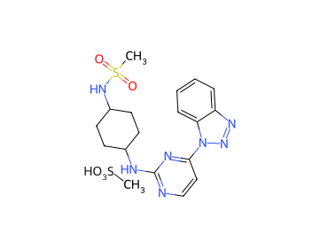 CS(=O)(=O)NC1CCC(Nc2nccc(-n3nnc4ccccc43)n2)CC1.CS(=O)(=O)O